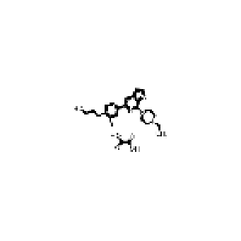 CCN1CCN(c2nc(-c3ccc(CCCO)c(Cl)c3)cc3ccsc23)CC1.O=C(O)C(=O)O